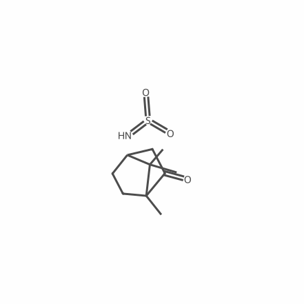 CC12CCC(CC1=O)C2(C)C.N=S(=O)=O